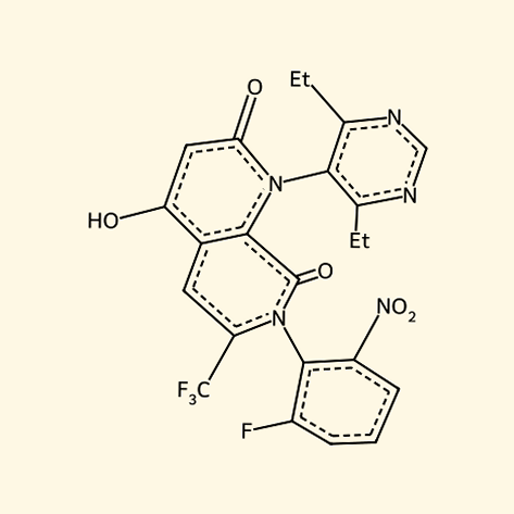 CCc1ncnc(CC)c1-n1c(=O)cc(O)c2cc(C(F)(F)F)n(-c3c(F)cccc3[N+](=O)[O-])c(=O)c21